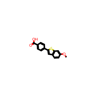 COc1ccc2cc(-c3ccc(C(=O)O)cc3)sc2c1